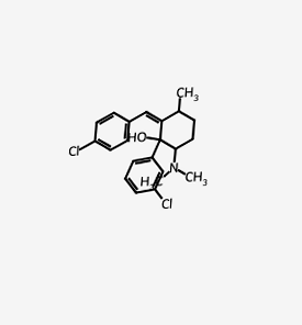 CC1CCC(N(C)C)C(O)(c2cccc(Cl)c2)C1=Cc1ccc(Cl)cc1